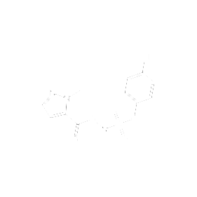 Cn1nccc1C(=O)ONS(=O)(=O)Oc1ccc(Cl)cc1